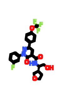 O=C(NC(CO)[C@H]1CCOC1)c1cc(-c2ccc(OC(F)(F)F)cc2)nn(-c2cccc(F)c2)c1=O